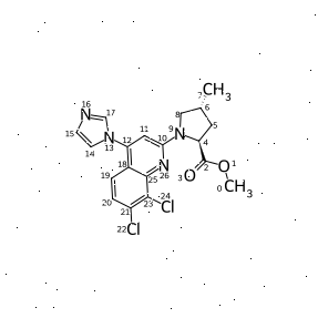 COC(=O)[C@@H]1C[C@@H](C)CN1c1cc(-n2ccnc2)c2ccc(Cl)c(Cl)c2n1